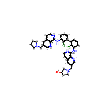 OC1CCN(Cc2cnc3c(Nc4cccc(-c5cccc(Nc6nccc7cc(CN8CCCC8)cnc67)c5Cl)c4Cl)nccc3c2)C1